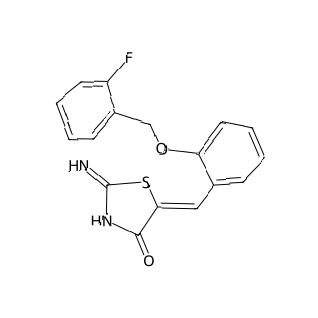 N=C1NC(=O)C(=Cc2ccccc2OCc2ccccc2F)S1